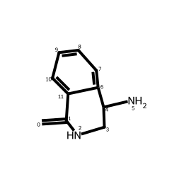 C=C1NCC(N)c2ccccc21